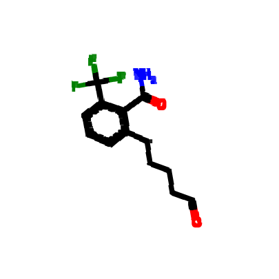 NC(=O)c1c([CH]CCCC=O)cccc1C(F)(F)F